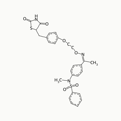 CC(=NOCCOc1ccc(CC2SC(=O)NC2=O)cc1)c1ccc(N(C)S(=O)(=O)c2ccccc2)cc1